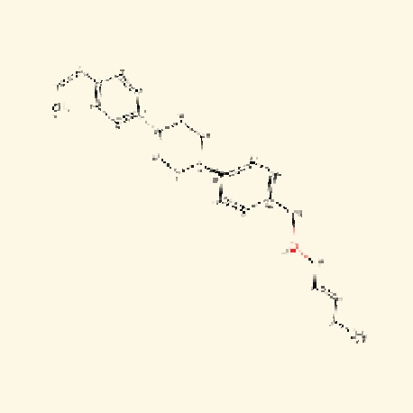 C/C=C\c1ccc([C@H]2CC[C@H](c3ccc(COC/C=C/CC)cc3)CC2)cc1